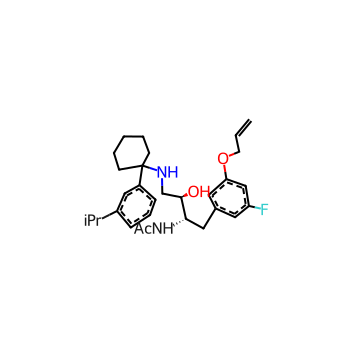 C=CCOc1cc(F)cc(C[C@H](NC(C)=O)[C@H](O)CNC2(c3cccc(C(C)C)c3)CCCCC2)c1